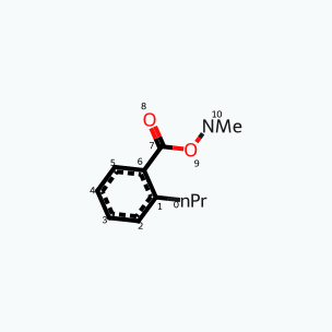 CCCc1ccccc1C(=O)ONC